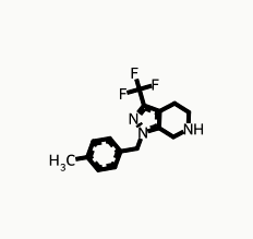 Cc1ccc(Cn2nc(C(F)(F)F)c3c2CNCC3)cc1